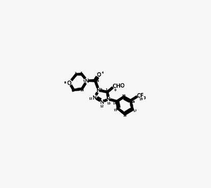 O=CC1N(C(=O)N2CCOCC2)N=NN1c1cccc(C(F)(F)F)c1